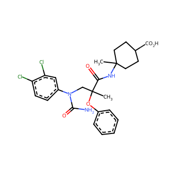 CC1(NC(=O)C(C)(CN(C(N)=O)c2ccc(Cl)c(Cl)c2)Oc2ccccc2)CCC(C(=O)O)CC1